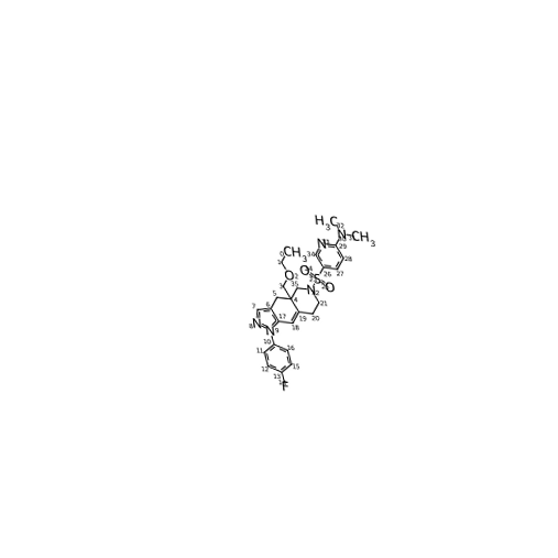 CCOCC12Cc3cnn(-c4ccc(F)cc4)c3C=C1CCN(S(=O)(=O)c1ccc(N(C)C)nc1)C2